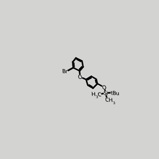 CC(C)(C)[Si](C)(C)Oc1ccc(Oc2ccccc2Br)cc1